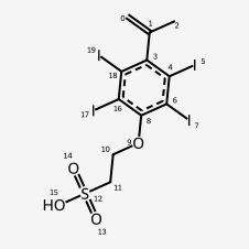 C=C(C)c1c(I)c(I)c(OCCS(=O)(=O)O)c(I)c1I